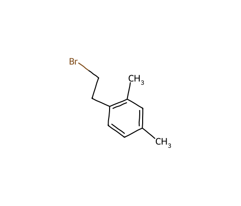 Cc1ccc(CCBr)c(C)c1